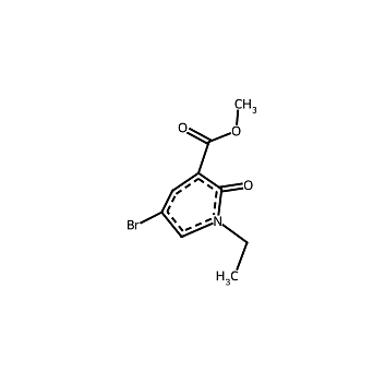 CCn1cc(Br)cc(C(=O)OC)c1=O